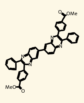 COC(=O)c1ccc(-c2nc3cc(-c4ccc5nc(-c6ccccc6)c(-c6ccc(C(=O)OC)cc6)nc5c4)ccc3nc2-c2ccccc2)cc1